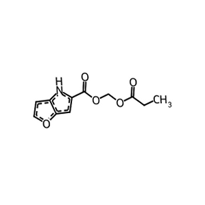 CCC(=O)OCOC(=O)c1cc2occc2[nH]1